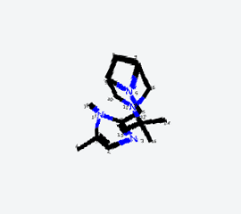 Cc1cnc(CN2C3CC2CN(C(C)(C)C)C3)n1C